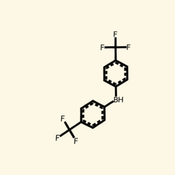 FC(F)(F)c1ccc(Bc2ccc(C(F)(F)F)cc2)cc1